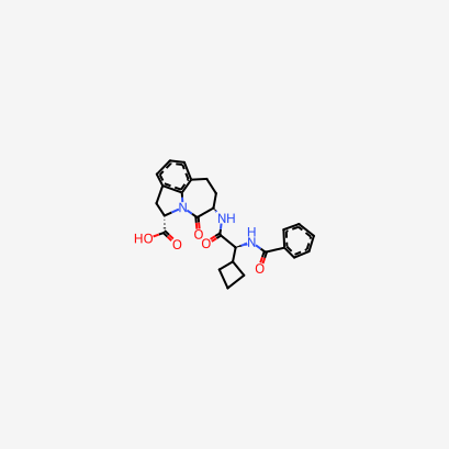 O=C(N[C@H](C(=O)N[C@H]1CCc2cccc3c2N(C1=O)[C@H](C(=O)O)C3)C1CCC1)c1ccccc1